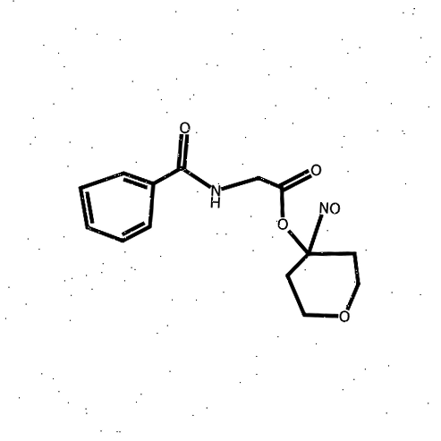 O=NC1(OC(=O)CNC(=O)c2ccccc2)CCOCC1